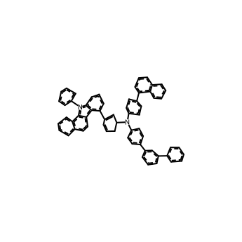 C1=CC(c2cccc3c2c2ccc4ccccc4c2n3-c2ccccc2)=CC(N(c2ccc(-c3cccc(-c4ccccc4)c3)cc2)c2ccc(-c3cccc4ccccc34)cc2)C1